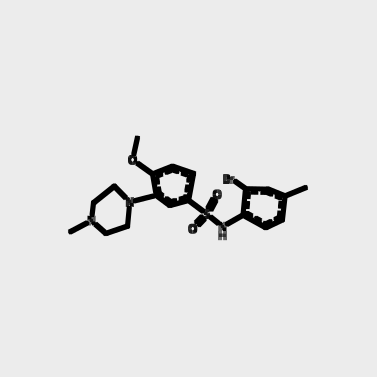 COc1ccc(S(=O)(=O)Nc2ccc(C)cc2Br)cc1N1CCN(C)CC1